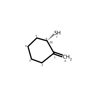 C=C1CCCC[C@@H]1S